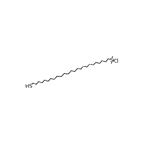 C[Si](C)(Cl)CCCCCCCCCCCCCCCCCCCCCCCCCS